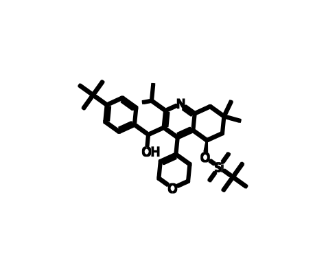 CC(C)c1nc2c(c(C3=CCOCC3)c1C(O)c1ccc(C(C)(C)C)cc1)[C@H](O[Si](C)(C)C(C)(C)C)CC(C)(C)C2